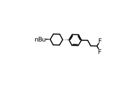 CCCC[C@H]1CC[C@H](c2ccc(CCC(F)F)cc2)CC1